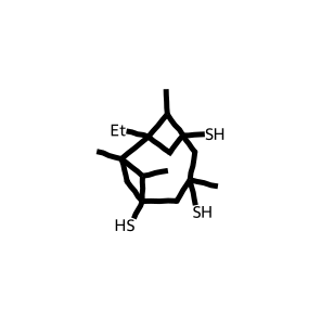 CCC12CC(S)(CC(C)(S)CC3(S)CC1(C)C3C)C2C